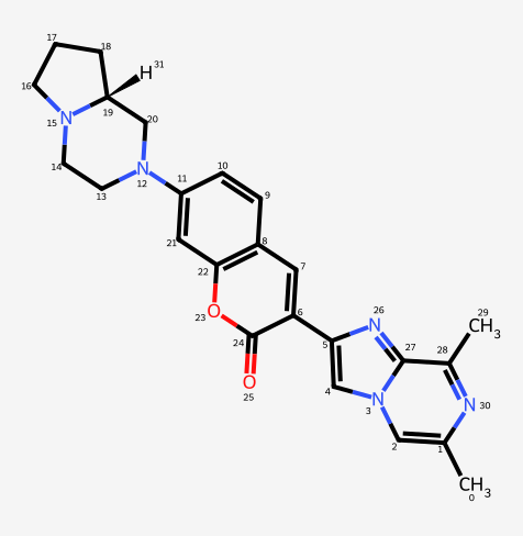 Cc1cn2cc(-c3cc4ccc(N5CCN6CCC[C@@H]6C5)cc4oc3=O)nc2c(C)n1